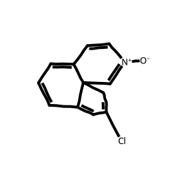 [O-][N+]1=CC23CC=C(Cl)C=C2C=CC=C3C=C1